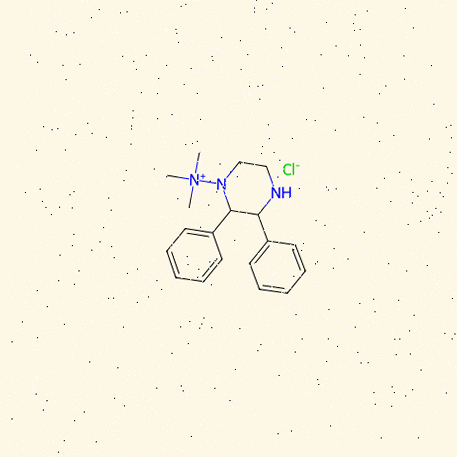 C[N+](C)(C)N1CCNC(c2ccccc2)C1c1ccccc1.[Cl-]